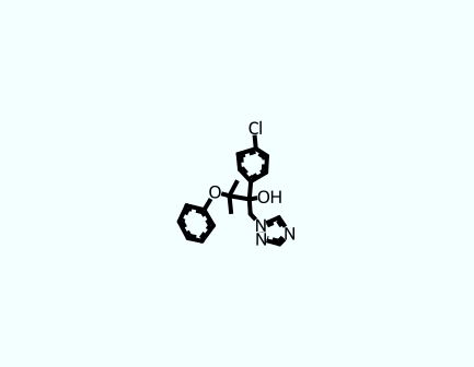 CC(C)(Oc1ccccc1)C(O)(Cn1cncn1)c1ccc(Cl)cc1